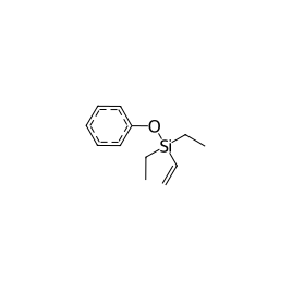 C=C[Si](CC)(CC)Oc1ccccc1